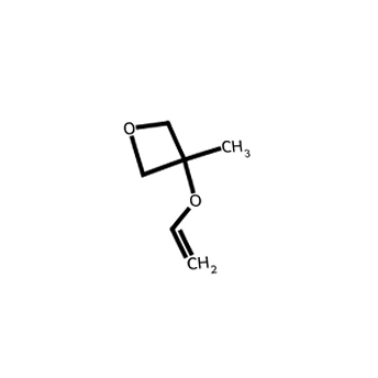 C=COC1(C)COC1